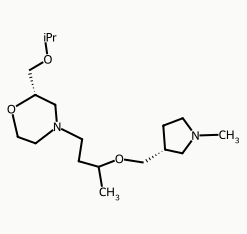 CC(C)OC[C@@H]1CN(CCC(C)OC[C@@H]2CCN(C)C2)CCO1